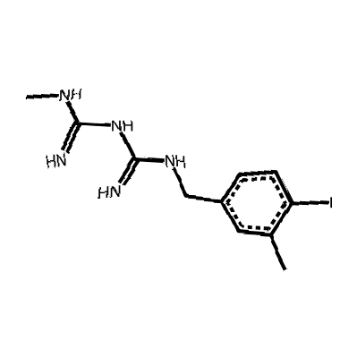 CNC(=N)NC(=N)NCc1ccc(I)c(C)c1